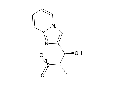 C[C@@H]([C@H](O)c1cn2ccccc2n1)[SH](=O)=O